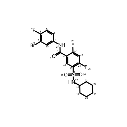 O=C(Nc1ccc(F)c(Br)c1)c1cc(S(=O)(=O)NC2CCCCC2)c(F)cc1F